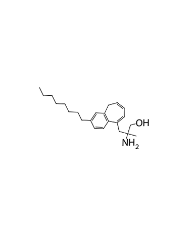 CCCCCCCCc1ccc2c(c1)CC=CC=C2CC(C)(N)CO